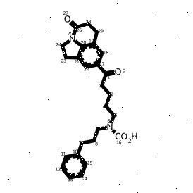 O=C(CCCCN(CCCc1ccccc1)C(=O)O)c1cc2c3c(c1)CCN3C(=O)CC2